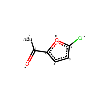 CCCCC(=O)c1ccc(Cl)o1